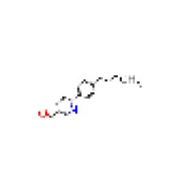 CCCCc1ccc(-c2ccc(C=O)cn2)cc1